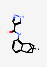 CC(C)C1C2CCC1c1c(NC(=O)c3cn[nH]c3)cccc12